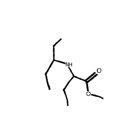 CCC(CC)NC(CC)C(=O)OC